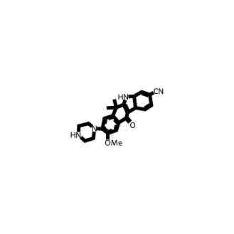 COc1cc2c(cc1N1CCNCC1)C(C)(C)C1=C(C2=O)C2C=CC(C#N)=CC2N1